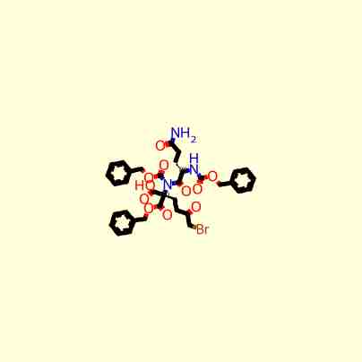 NC(=O)CC[C@H](NC(=O)OCc1ccccc1)C(=O)N(C(=O)OCc1ccccc1)[C@@](CCC(=O)CBr)(C(=O)O)C(=O)OCc1ccccc1